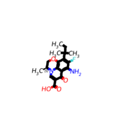 CCC(C)(C)c1c(F)c(N)c2c(=O)c(C(=O)O)cn3c2c1OC[C@@H]3C